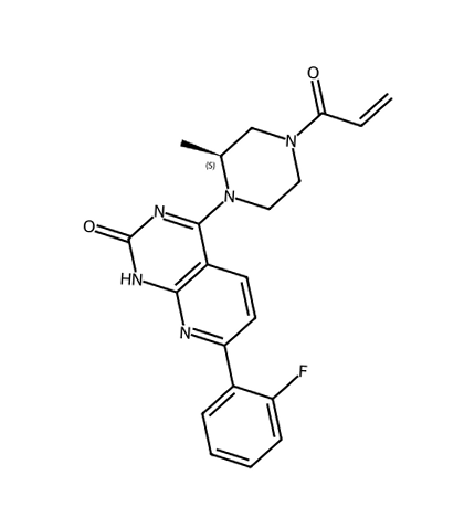 C=CC(=O)N1CCN(c2nc(=O)[nH]c3nc(-c4ccccc4F)ccc23)[C@@H](C)C1